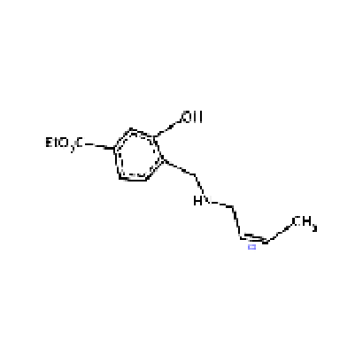 C/C=C\CNCc1ccc(C(=O)OCC)cc1O